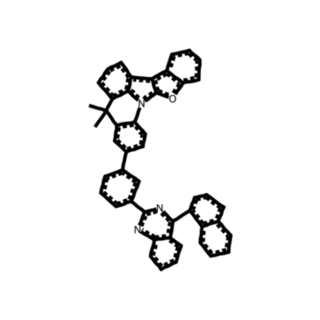 CC1(C)c2cc(-c3cccc(-c4nc(-c5cccc6ccccc56)c5ccccc5n4)c3)ccc2-n2c3oc4ccccc4c3c3cccc1c32